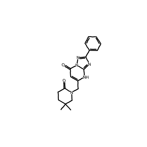 CC1(C)CCC(=O)N(Cc2cc(=O)n3nc(-c4ccccc4)nc3[nH]2)C1